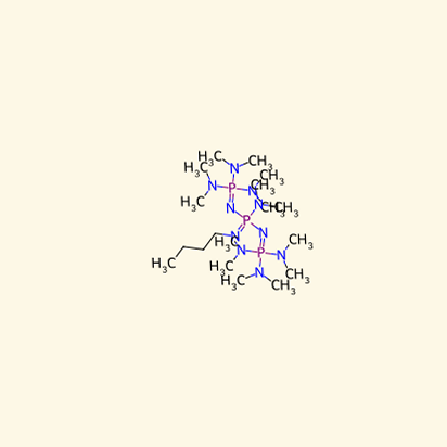 CCCCN=P(N=P(N(C)C)(N(C)C)N(C)C)(N=P(N(C)C)(N(C)C)N(C)C)N(C)C